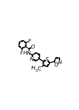 Cc1cc(-c2ccno2)sc1-c1ccc(NC(=O)c2c(F)cccc2F)nc1